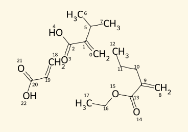 C=C(C(=O)O)C(C)C.C=C(CCC)C(=O)OCC.C=CC(=O)O